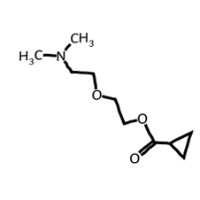 CN(C)CCOCCOC(=O)C1CC1